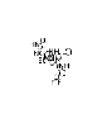 CCNC(C#N)[C@H](C[C@@H]1CCNC1=O)NC(=O)[C@@H]1C[C@@H](c2ccccc2)CN1C(=O)c1cc2c(OC(F)F)cccc2[nH]1